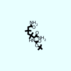 CC(C)(CC(N)=O)CC(C)(C)[C@H](NC(=O)OC(C)(C)C)C(N)=O